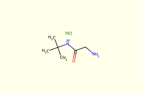 CC(C)(C)NC(=O)CN.Cl